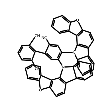 N#Cc1cc(-n2c3ccccc3c3ccc4oc5ccccc5c4c32)c(-n2c3ccccc3c3ccc4oc5ccccc5c4c32)cc1-c1c(C#N)cccc1C(F)(F)F